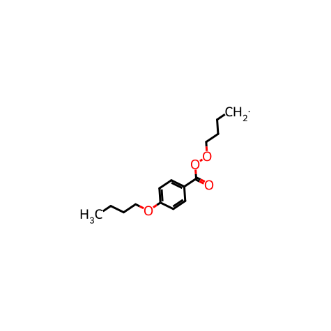 [CH2]CCCOOC(=O)c1ccc(OCCCC)cc1